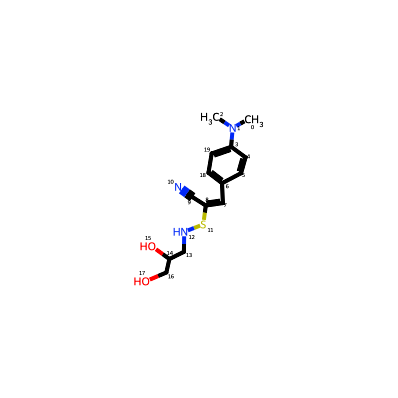 CN(C)c1ccc(/C=C(\C#N)SNCC(O)CO)cc1